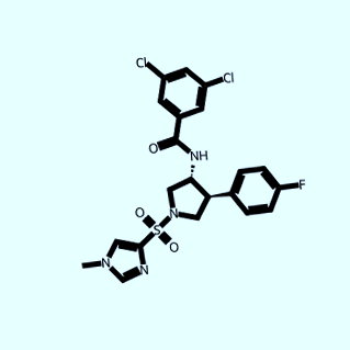 Cn1cnc(S(=O)(=O)N2C[C@H](NC(=O)c3cc(Cl)cc(Cl)c3)[C@@H](c3ccc(F)cc3)C2)c1